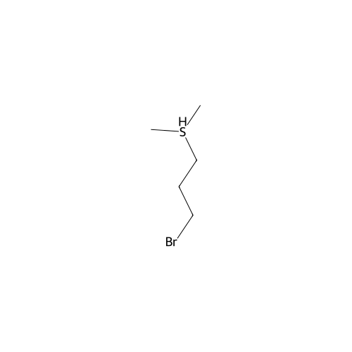 C[SH](C)CCCBr